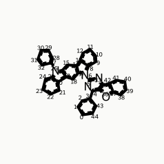 c1ccc(-c2nc(-n3c4ccccc4c4cc5c(cc43)c3ccccc3n5-c3ccccc3)nc3c2oc2ccccc23)cc1